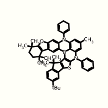 Cc1cc2c3c(c1)N(c1ccccc1)c1sc4c(c1B3c1cc3c5c(oc3cc1N2C1=CCCC=C1)C(C)(C)CCC5(C)C)C(C)(C)c1ccc(C(C)(C)C)cc1-4